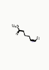 [CH2]C/C=C\CCCC(=O)OC